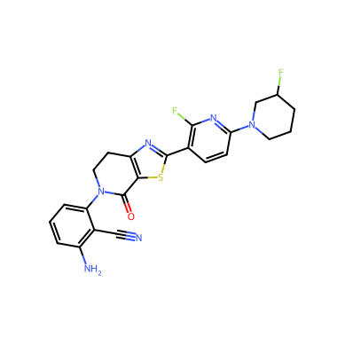 N#Cc1c(N)cccc1N1CCc2nc(-c3ccc(N4CCCC(F)C4)nc3F)sc2C1=O